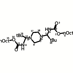 CCCCCCCCOC(=O)NC(N1CCN(C(NC(=O)OCCCCCCCC)C(C)(C)C)CC1)C(C)(C)C